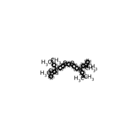 CC(C)c1ccc(N(c2ccc3c(c2)C(C)(C)c2ccccc2-3)c2ccc3cc4c(cc3c2)oc2cc3oc5cc6cc(N(c7ccc(C(C)C)cc7)c7ccc8c(c7)C(C)(C)c7ccccc7-8)ccc6cc5c3cc24)cc1